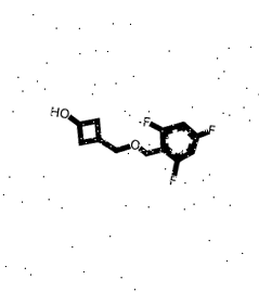 OC1CC(COCc2c(F)cc(F)cc2F)C1